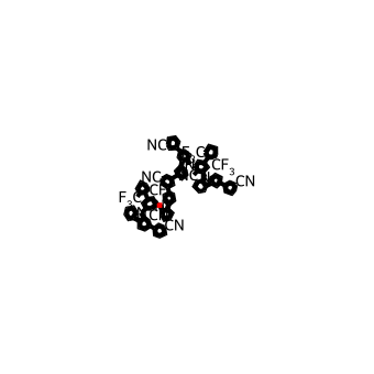 N#Cc1cccc(-c2ccc3c(c2)c2c(n3-c3cc(-c4c(C(F)(F)F)cccc4C(F)(F)F)cc(-n4c5ccc(-c6cccc(C#N)c6)cc5c5cc(-c6cc(C#N)cc(-c7ccc8c9ccccc9n(-c9cc(-c%10c(C(F)(F)F)cccc%10C(F)(F)F)cc(-n%10c%11ccccc%11c%11ccc(-c%12cccc(C#N)c%12)cc%11%10)c9C#N)c8c7)c6)ccc54)c3C#N)C=CCC2)c1